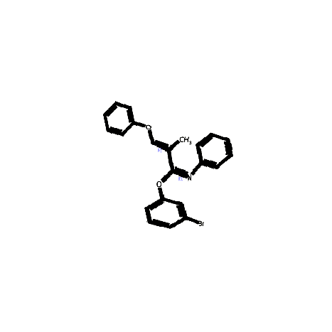 CC(=C\Oc1ccccc1)/C(=N\c1ccccc1)Oc1cccc(Br)c1